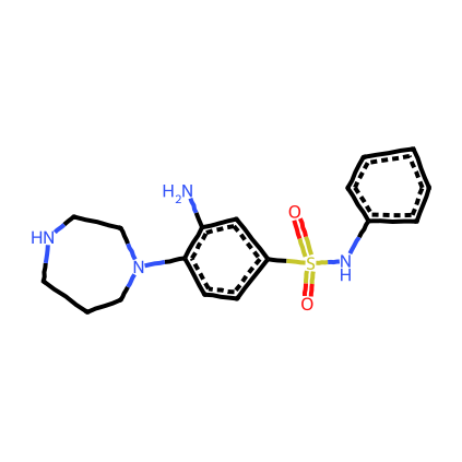 Nc1cc(S(=O)(=O)Nc2ccccc2)ccc1N1CCCNCC1